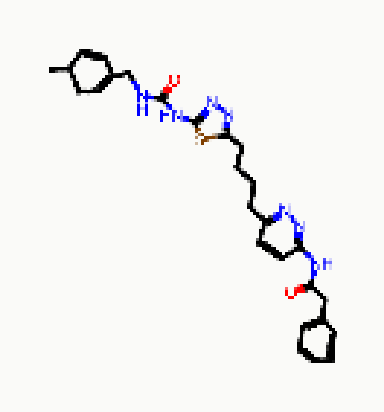 CC1C=CC(CNC(=O)Nc2nnc(CCCCc3ccc(NC(=O)Cc4ccccc4)nn3)s2)=CC1